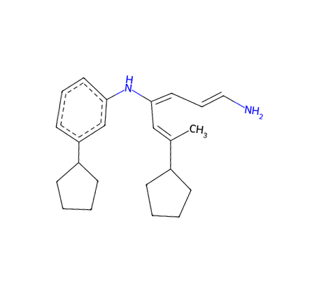 C\C(=C/C(=C\C=C\N)Nc1cccc(C2CCCC2)c1)C1CCCC1